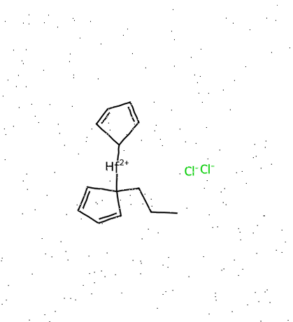 CCC[C]1([Hf+2][CH]2C=CC=C2)C=CC=C1.[Cl-].[Cl-]